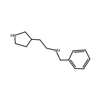 c1ccc(CNCCC2CCNC2)cc1